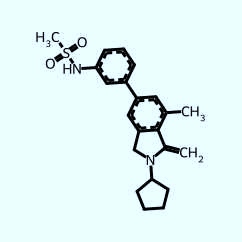 C=C1c2c(C)cc(-c3cccc(NS(C)(=O)=O)c3)cc2CN1C1CCCC1